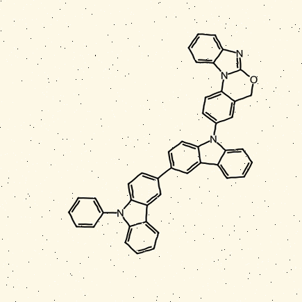 c1ccc(-n2c3ccccc3c3cc(-c4ccc5c(c4)c4ccccc4n5-c4ccc5c(c4)COc4nc6ccccc6n4-5)ccc32)cc1